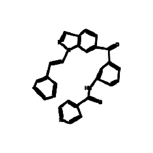 O=C(Nc1cccc(C(=O)c2ccc3cnn(C=Cc4ccccc4)c3c2)c1)c1ccncc1